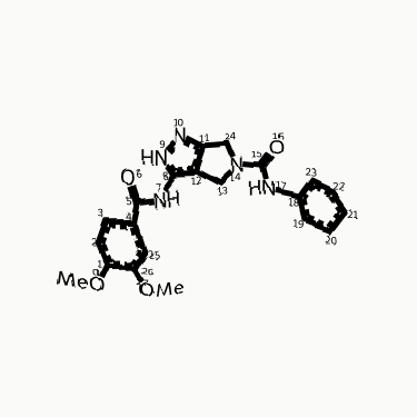 COc1ccc(C(=O)Nc2[nH]nc3c2CN(C(=O)Nc2ccccc2)C3)cc1OC